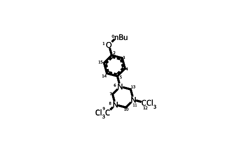 CCCCOc1ccc(N2CN(C(Cl)(Cl)Cl)CN(C(Cl)(Cl)Cl)C2)cc1